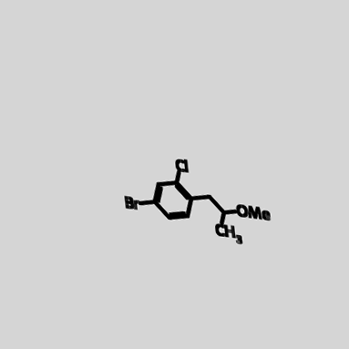 COC(C)Cc1ccc(Br)cc1Cl